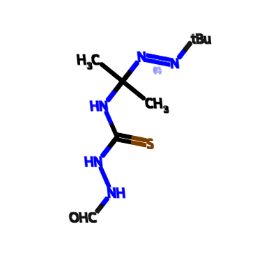 CC(C)(C)/N=N/C(C)(C)NC(=S)NNC=O